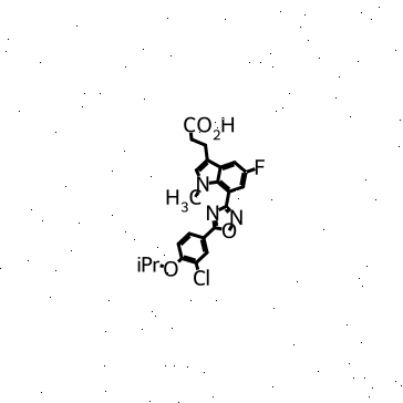 CC(C)Oc1ccc(-c2nc(-c3cc(F)cc4c(CCC(=O)O)cn(C)c34)no2)cc1Cl